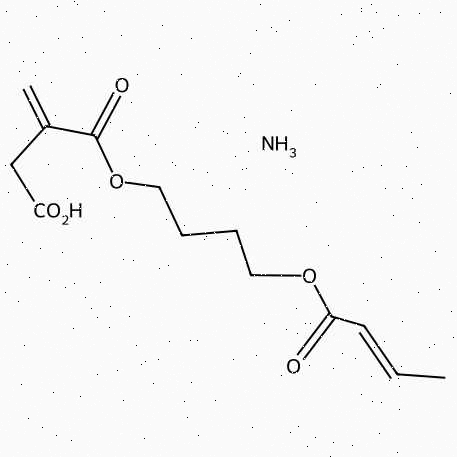 C=C(CC(=O)O)C(=O)OCCCCOC(=O)C=CC.N